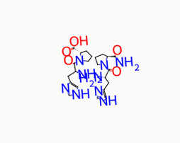 NC(=O)[C@@H]1CCCN1C(=O)[C@@H](N)Cc1c[nH]cn1.N[C@@H](Cc1c[nH]cn1)C(=O)N1CCC[C@H]1C(=O)O